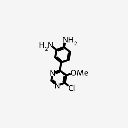 COc1c(Cl)ncnc1-c1ccc(N)c(N)c1